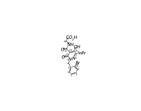 CCCc1nn(Cc2ccccc2Br)c(=O)c(C(=O)NCC(=O)O)c1O